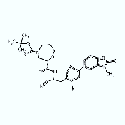 Cn1c(=O)oc2ccc(-c3ccc(C[C@@H](C#N)NC(=O)[C@@H]4CN(C(=O)OC(C)(C)C)CCCO4)c(F)c3)cc21